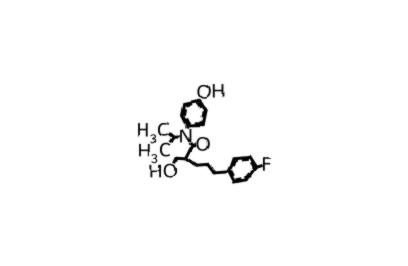 CC(C)N(C(=O)C(CO)CCCc1ccc(F)cc1)c1ccc(O)cc1